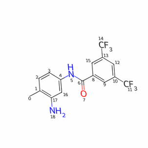 Cc1ccc(NC(=O)c2cc(C(F)(F)F)cc(C(F)(F)F)c2)cc1N